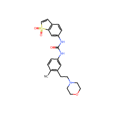 N#Cc1ccc(NC(=O)Nc2ccc3c(c2)S(=O)(=O)C=C3)cc1CCN1CCOCC1